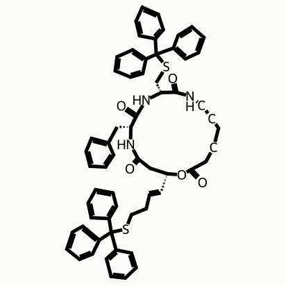 O=C1C[C@@H](C=CCCSC(c2ccccc2)(c2ccccc2)c2ccccc2)OC(=O)CCCCCNC(=O)[C@@H](CSC(c2ccccc2)(c2ccccc2)c2ccccc2)NC(=O)[C@@H](Cc2ccccc2)N1